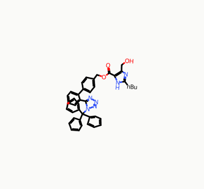 CCCCc1nc(CO)c(C(=O)OCc2ccc(-c3ccccc3-c3nnnn3C(c3ccccc3)(c3ccccc3)c3ccccc3)cc2)[nH]1